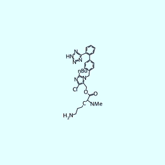 CCCCc1nc(Cl)c(COC(=O)C(CCCCN)NC)n1Cc1ccc(-c2ccccc2-c2nn[nH]n2)cc1